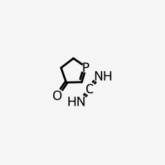 N=C=N.O=C1C=PCC1